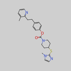 Cc1cccnc1CCc1ccc(OC(=O)N2CCC(Sc3nccn3C)CC2)cc1